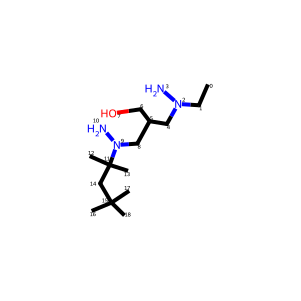 CCN(N)CC(CO)CN(N)C(C)(C)CC(C)(C)C